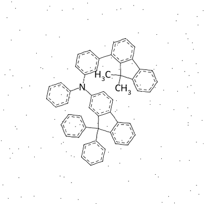 CC1(C)c2ccccc2-c2cccc(-c3cccc(N(c4ccccc4)c4ccc5c(c4)C(c4ccccc4)(c4ccccc4)c4ccccc4-5)c3)c21